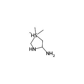 C[SH]1(C)(C)CNC(N)C1